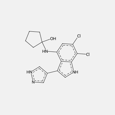 OC1(Nc2cc(Cl)c(Cl)c3[nH]cc(-c4cn[nH]c4)c23)CCCC1